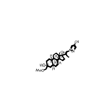 COC[C@@]1(O)CC[C@H]2[C@@H](CC[C@@H]3[C@@H]2CC[C@@]2(C)[C@H]3CC[C@]2(O)C(C)Cn2cc(C#N)cn2)C1